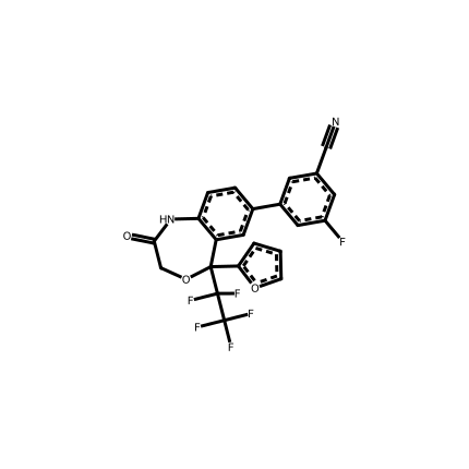 N#Cc1cc(F)cc(-c2ccc3c(c2)C(c2ccco2)(C(F)(F)C(F)(F)F)OCC(=O)N3)c1